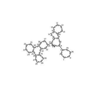 c1ccc(-c2cc3c(sc4ccccc43)c(-c3ccc4c5ccccc5c5ccccc5c4c3)n2)cc1